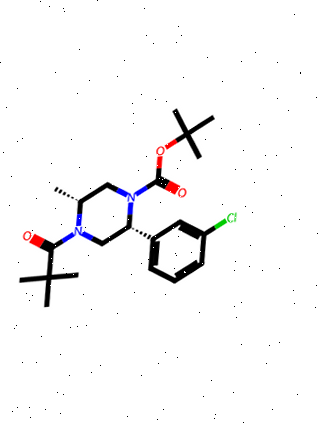 C[C@@H]1CN(C(=O)OC(C)(C)C)[C@H](c2cccc(Cl)c2)CN1C(=O)C(C)(C)C